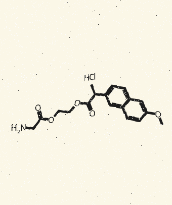 COc1ccc2cc(C(C)C(=O)OCCOC(=O)CN)ccc2c1.Cl